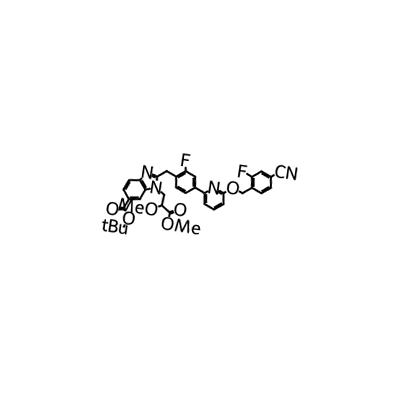 COC(=O)C(Cn1c(Cc2ccc(-c3cccc(OCc4ccc(C#N)cc4F)n3)cc2F)nc2ccc(C(=O)OC(C)(C)C)cc21)OC